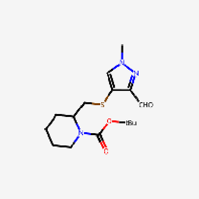 Cn1cc(SCC2CCCCN2C(=O)OC(C)(C)C)c(C=O)n1